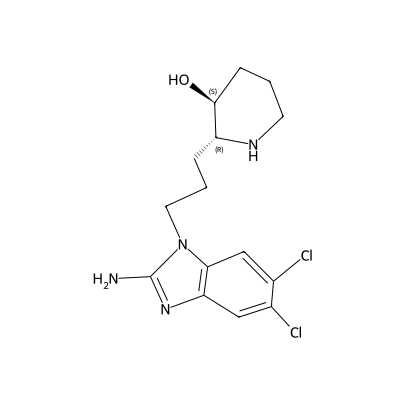 Nc1nc2cc(Cl)c(Cl)cc2n1CCC[C@H]1NCCC[C@@H]1O